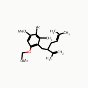 C=C(C)C(CC=C(C)C)Cc1c(OCOC)cc(OC)c(C(C)=O)c1C